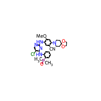 COc1cc(N2CCC3(CC2)OCCO3)c(C#N)cc1Nc1ncc(Cl)c(Nc2ccccc2P(C)(C)=O)n1